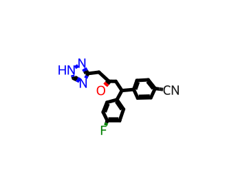 N#Cc1ccc(C(CC(=O)Cc2nc[nH]n2)c2ccc(F)cc2)cc1